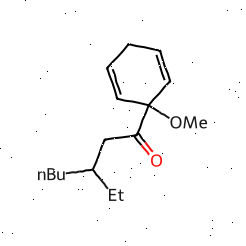 CCCCC(CC)CC(=O)C1(OC)C=CCC=C1